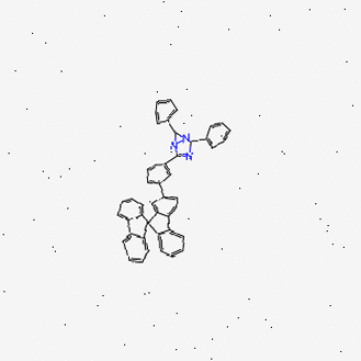 c1ccc(C2N=C(c3cccc(-c4ccc5c(c4)C4(c6ccccc6-c6ccccc64)c4ccccc4-5)c3)N3C(c4ccccc4)N23)cc1